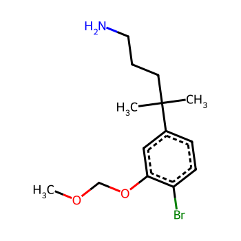 COCOc1cc(C(C)(C)CCCN)ccc1Br